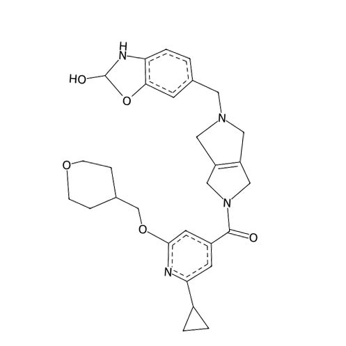 O=C(c1cc(OCC2CCOCC2)nc(C2CC2)c1)N1CC2=C(CN(Cc3ccc4c(c3)OC(O)N4)C2)C1